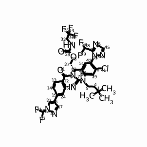 CC(C)(C)CCNC(=N)N(C(=O)c1ccc(-c2cnn(C(F)F)c2)cc1)[C@H](COC(=O)NCC(F)(F)F)c1ccc(Cl)c(-n2ncnc2C(F)F)c1